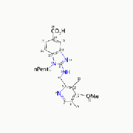 CCCCCn1c(NCc2ncc(C)c(OC)c2C)nc2cc(C(=O)O)ccc21